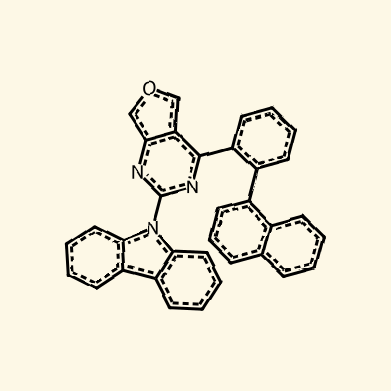 c1ccc(-c2nc(-n3c4ccccc4c4ccccc43)nc3cocc23)c(-c2cccc3ccccc23)c1